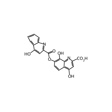 O=C(O)c1cc(O)c2ccc(OC(=O)c3cc(O)c4ccccc4n3)c(O)c2n1